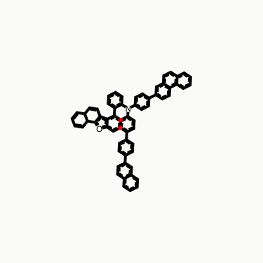 C1=CC2C=Cc3c(oc4cccc(-c5ccccc5N(c5ccc(-c6ccc(-c7ccc8ccccc8c7)cc6)cc5)c5ccc(-c6ccc7c(ccc8ccccc87)c6)cc5)c34)C2C=C1